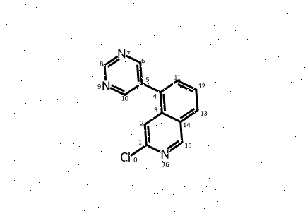 Clc1cc2c(-c3cncnc3)cccc2cn1